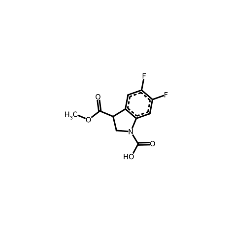 COC(=O)C1CN(C(=O)O)c2cc(F)c(F)cc21